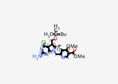 COC(=O)c1cnc(CN2CC(CO[Si](C)(C)C(C)(C)C)c3c(Cl)nc(N)nc32)c(C)c1OC